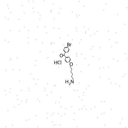 Cl.NCCCCCCOc1ccc(C(=O)c2ccc(Br)cc2)cc1